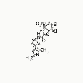 Cc1nc(C)c(-c2csc(NC(=O)C3Cc4c([N+](=O)[O-])cc(Cl)c(Cl)c4O3)n2)s1